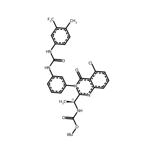 Cc1ccc(NC(=O)Nc2cccc(-n3c([C@H](C)NC(=O)OC(C)(C)C)nc4cccc(Cl)c4c3=O)c2)cc1C(F)(F)F